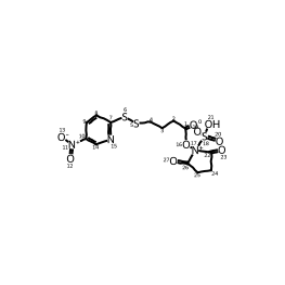 O=C(CCCSSc1ccc([N+](=O)[O-])cn1)O[N+]1(S(=O)(=O)O)C(=O)CCC1=O